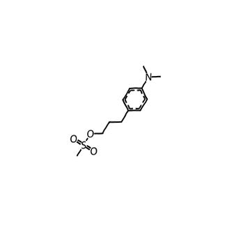 CN(C)c1ccc(CCCOS(C)(=O)=O)cc1